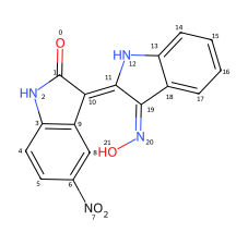 O=C1Nc2ccc([N+](=O)[O-])cc2/C1=C1/Nc2ccccc2/C1=N/O